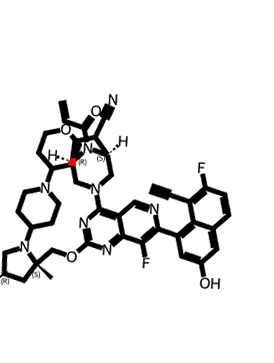 C#Cc1c(F)ccc2cc(O)cc(-c3ncc4c(N5C[C@H]6CC(C#N)[C@@H](C5)N6C(=O)C=C)nc(OC[C@]5(C)C[C@@H](F)CN5C5CCN(C6CCOCC6)CC5)nc4c3F)c12